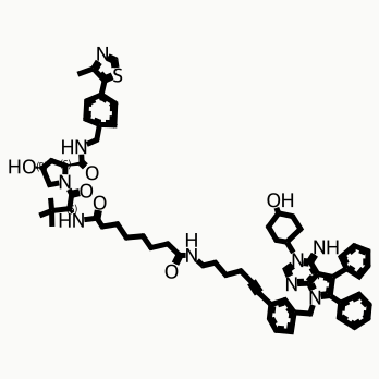 Cc1ncsc1-c1ccc(CNC(=O)[C@@H]2C[C@@H](O)CN2C(=O)[C@@H](NC(=O)CCCCCCC(=O)NCCCCC#Cc2cccc(Cn3c(-c4ccccc4)c(-c4ccccc4)c4c(=N)n(C5CCC(O)CC5)cnc43)c2)C(C)(C)C)cc1